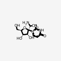 CC(N)[C@@]1(n2ccc(=O)[nH]c2=O)O[C@H](CO)[C@@H](O)[C@H]1O